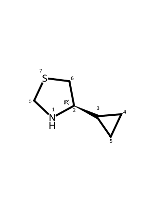 C1N[C@H](C2CC2)CS1